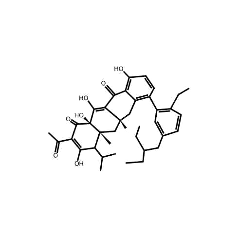 CCc1ccc(CC(CC)CC)cc1-c1ccc(O)c2c1C[C@]1(C)C[C@]3(C)C(C(C)C)C(O)=C(C(C)=O)C(=O)[C@]3(O)C(O)=C1C2=O